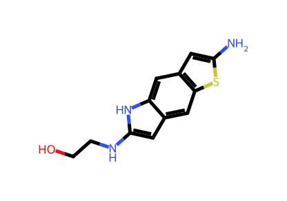 Nc1cc2cc3[nH]c(NCCO)cc3cc2s1